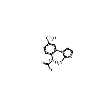 CCC(=O)Nc1ccc(C(=O)O)cc1-n1ccnc1N